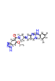 CCOc1cc2[nH]nnc2cc1C(=O)N1CCC(N2Cc3cnc(Nc4cc(C)cc(C)c4)nc3C2)CC1